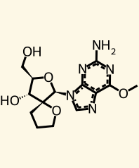 COc1nc(N)nc2c1ncn2[C@@H]1O[C@H](CO)[C@@H](O)[C@]12CCCO2